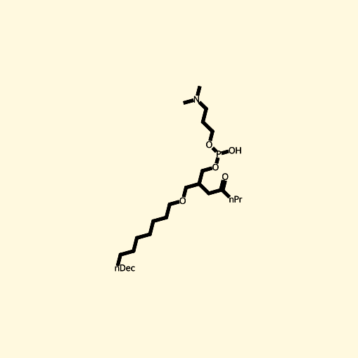 CCCCCCCCCCCCCCCCCOCC(COP(O)OCCCN(C)C)CC(=O)CCC